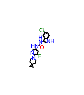 O=C(Nc1cnc(N2CCC3(CC2)CC3)c(F)c1)Nc1c[nH]c2ccc(Cl)cc12